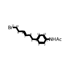 CC(=O)Nc1ccc(CCC=CCCBr)cc1